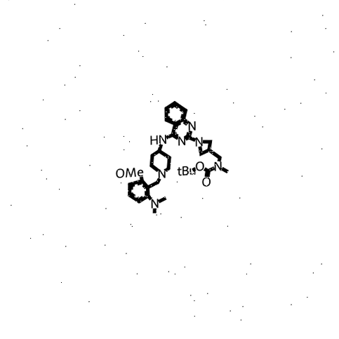 COc1cccc(N(C)C)c1CN1CCC(Nc2nc(N3CC(CN(C)C(=O)OC(C)(C)C)C3)nc3ccccc23)CC1